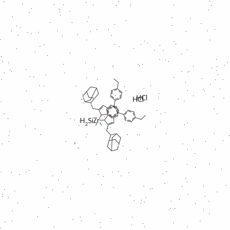 CCc1ccc(-c2cccc3c2C=C(CC2C4CC5CC(C4)CC2C5)[CH]3[Zr]([CH3])([CH3])(=[SiH2])[CH]2C(CC3C4CC5CC(C4)CC3C5)=Cc3c(-c4ccc(CC)cc4)cccc32)cc1.Cl.Cl